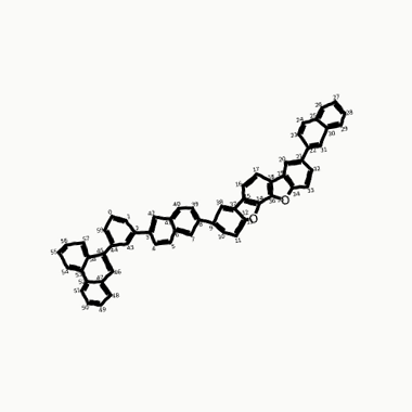 c1cc(-c2ccc3cc(-c4ccc5oc6c(ccc7c8cc(-c9ccc%10ccccc%10c9)ccc8oc76)c5c4)ccc3c2)cc(-c2cc3ccccc3c3ccccc23)c1